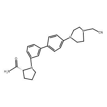 N#CCN1CCN(c2ccc(-c3cccc(N4CCC[C@@H]4C(N)=O)c3)cc2)CC1